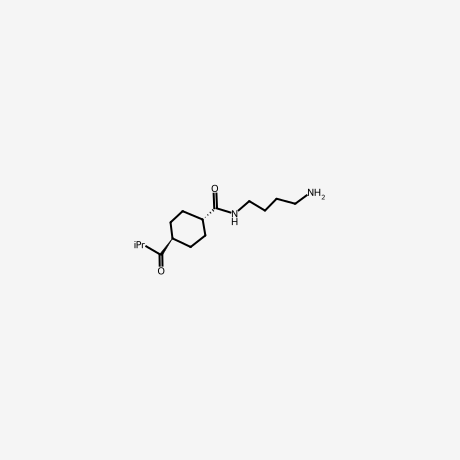 CC(C)C(=O)[C@H]1CC[C@H](C(=O)NCCCCN)CC1